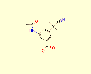 COC(=O)c1cc(NC(C)=O)cc(C(C)(C)C#N)c1